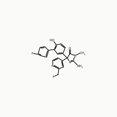 CN1C(=O)C(c2ccnc(CF)c2)(c2ccc(O)c(-c3ccc(F)cc3)c2)N=C1N